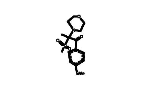 CSc1ccc(C(=O)C(C)(N2CCOCC2)S(C)(=O)=O)cc1